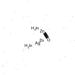 [Ag].[InH3].[InH3].[O]=[Zn].[Zn]